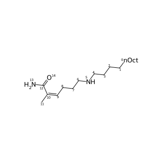 CCCCCCCCCCCCNCCCC=C(C)C(N)=O